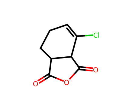 O=C1OC(=O)C2C(Cl)=CCCC12